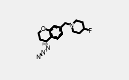 [N-]=[N+]=N[C@@H]1CCOc2cc(CN3CCC(F)CC3)ccc21